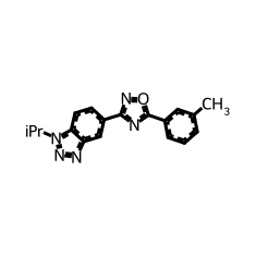 Cc1cccc(-c2nc(-c3ccc4c(c3)nnn4C(C)C)no2)c1